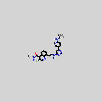 CCNc1ccc(-c2cc(NCCc3cccc4c(C(=O)NC)c(F)cnc34)ncn2)cn1